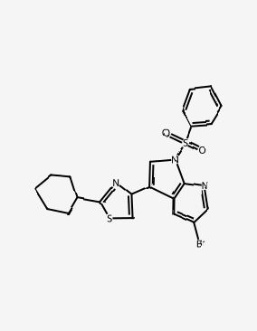 O=S(=O)(c1ccccc1)n1cc(-c2csc(C3CCCCC3)n2)c2cc(Br)cnc21